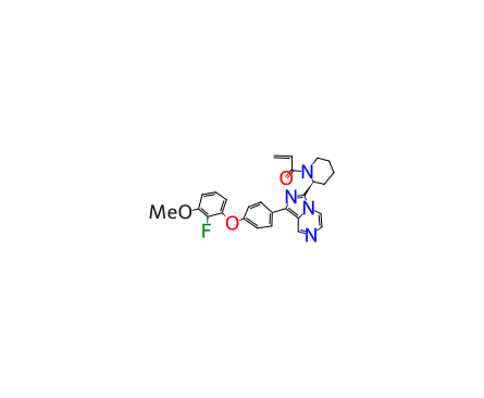 C=CC(=O)N1CCCC[C@H]1c1nc(-c2ccc(Oc3cccc(OC)c3F)cc2)c2cnccn12